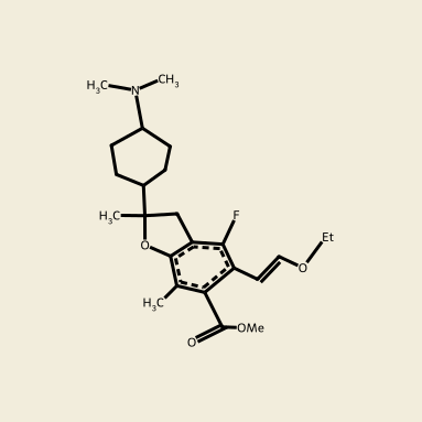 CCO/C=C/c1c(F)c2c(c(C)c1C(=O)OC)OC(C)(C1CCC(N(C)C)CC1)C2